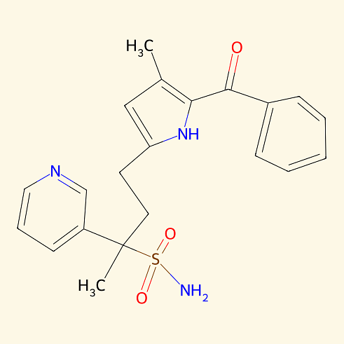 Cc1cc(CCC(C)(c2cccnc2)S(N)(=O)=O)[nH]c1C(=O)c1ccccc1